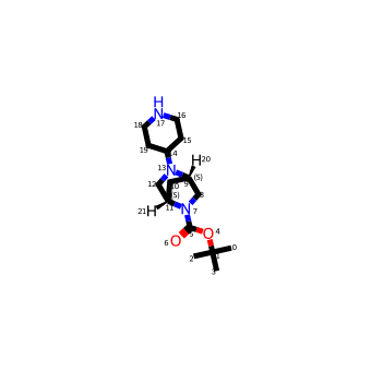 CC(C)(C)OC(=O)N1C[C@@H]2C[C@H]1CN2C1CCNCC1